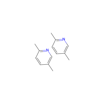 Cc1ccc(C)nc1.Cc1ccc(C)nc1